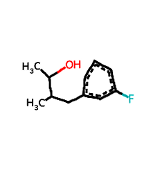 CC(O)C(C)Cc1cccc(F)c1